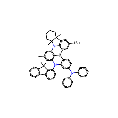 Cc1cc2c3c(c1)N1c4c(cc(C(C)(C)C)cc4C4(C)CCCCC14C)B3c1ccc(N(c3ccccc3)c3ccccc3)cc1N2c1cccc2c1C(C)(C)c1ccccc1-2